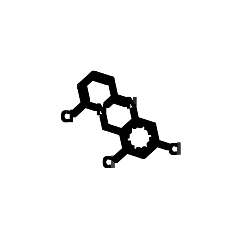 ClC1=CC=CC2=Nc3cc(Cl)cc(Cl)c3CN12